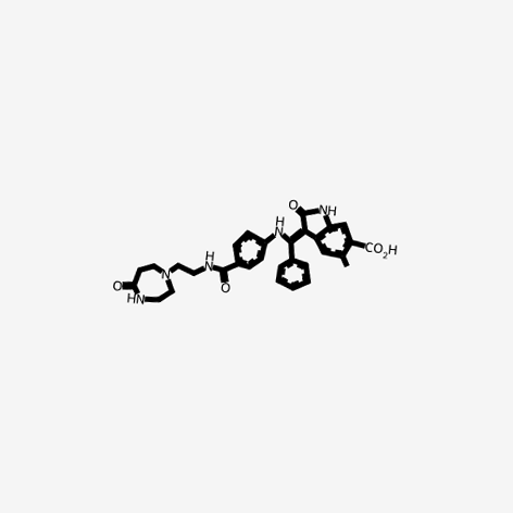 Cc1cc2c(cc1C(=O)O)NC(=O)/C2=C(\Nc1ccc(C(=O)NCCN2CCNC(=O)CC2)cc1)c1ccccc1